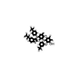 Cc1cc(N(c2ccc(C(C)(C)C)cc2)c2c(O)c(C)c(C)c(O)c2O)c(Cl)c(N(c2ccc(C(C)(C)C)cc2)c2csc3ccc(C(C)(C)C(C)C)cc23)c1